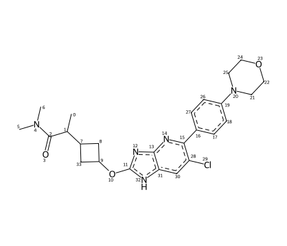 CC(C(=O)N(C)C)C1CC(Oc2nc3nc(-c4ccc(N5CCOCC5)cc4)c(Cl)cc3[nH]2)C1